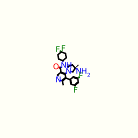 Cc1ncc(C(=O)NC2CCC(F)(F)CC2)c(N2CC[C@](C)(N)C2)c1-c1cc(F)cc(F)c1